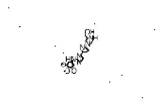 COc1cc(Nc2nccc(-c3ccc(N4CCNC(CO)C4)nc3)n2)cc(OC)c1OC